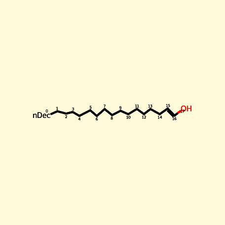 CCCCCCCCCCCCCCCCCCCCCCCCC=CO